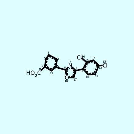 O=C(O)c1cccc(-c2nc(-c3ccc(Cl)cc3Cl)co2)c1